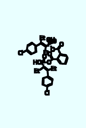 CCC(=C(CC)P(=O)(O)OC(=O)c1ccccc1C(=O)OP(=O)(O)C(CC)=C(CC)c1ccc(Cl)cc1)c1ccc(Cl)cc1